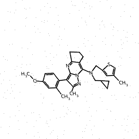 COc1ccc(-c2c(C)nn3c(N(Cc4cc(C)cs4)CC4CC4)c4c(nc23)CCC4)c(C)c1